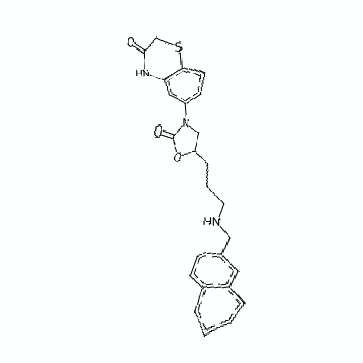 O=C1CSc2ccc(N3CC(CCCNCc4ccc5ccccc5c4)OC3=O)cc2N1